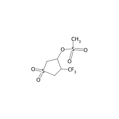 CS(=O)(=O)OC1CS(=O)(=O)CC1C(F)(F)F